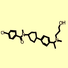 CC(c1ccc(C2CCC(N(C)C(=O)c3ccc(Cl)cc3)CC2)cc1)N(C)CCCO